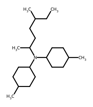 CCC(C)CCC(C)N(C1CCC(C)CC1)C1CCC(C)CC1